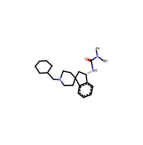 CC(C)N(C(=O)N[C@H]1CC2(CCN(CC3CCCCC3)CC2)c2ccccc21)C(C)C